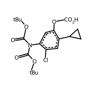 CC(C)(C)OC(=O)N(C(=O)OC(C)(C)C)c1cc(OC(=O)O)c(C2CC2)cc1Cl